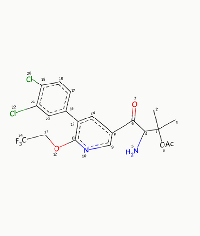 CC(=O)OC(C)(C)C(N)C(=O)c1cnc(OCC(F)(F)F)c(-c2ccc(Cl)c(Cl)c2)c1